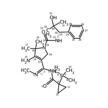 C/N=C(/NC(=O)C1([Si](C)(C)C)CC1)C1=C(N)C(C)(C)N(C(=O)N[C@@H](c2ccccc2)C(C)(C)O)C1